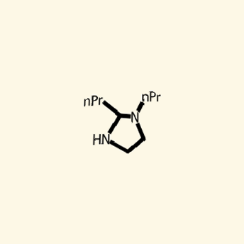 CCCC1NCCN1CCC